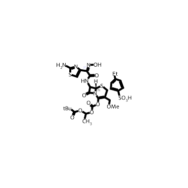 CCc1ccc(S(=O)(=O)O)cc1.COCC1=C(OC(=O)OC(C)OC(=O)C(C)(C)C)N2C(=O)C(NC(=O)/C(=N\O)c3csc(N)n3)[C@@H]2SC1